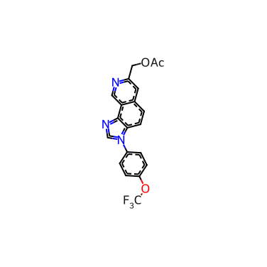 CC(=O)OCc1cc2ccc3c(ncn3-c3ccc(OC(F)(F)F)cc3)c2cn1